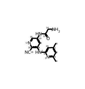 Cc1cc(C)nc(Nc2cc(NC(=O)CN)cnc2C#N)c1